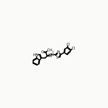 CC(=O)/C(Cc1c[nH]c2ccccc12)=N\Nc1nc(-c2ccc(Cl)c(Cl)c2)cs1